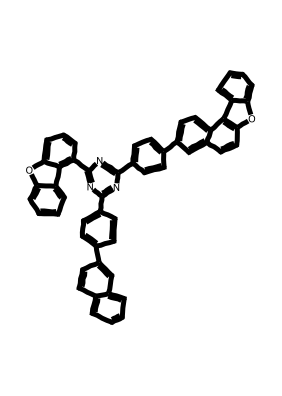 c1ccc2cc(-c3ccc(-c4nc(-c5ccc(-c6ccc7c(ccc8oc9ccccc9c87)c6)cc5)nc(-c5cccc6oc7ccccc7c56)n4)cc3)ccc2c1